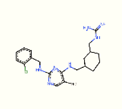 N=C(N)NCC1CCCC(CNc2nc(NCc3ccccc3Cl)ncc2N=O)C1